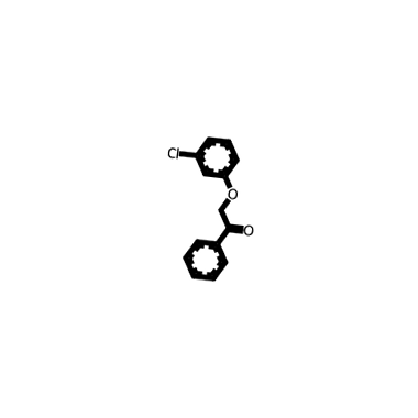 O=C(COc1cccc(Cl)c1)c1ccccc1